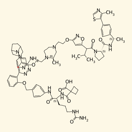 Cc1ncsc1-c1ccc([C@H](C)NC(=O)[C@@H]2CCCN2C(=O)C(c2cc(OCCN3CCN(CCOc4cc(N5C6CCC5CN(c5cc(-c7ccccc7OCc7ccc(NC(=O)[C@H](CCCNC(N)=O)NC(=O)C8(C(=O)O)CCC8)cc7)nnc5N)C6)ccn4)[C@H](C)C3)no2)C(C)C)cc1